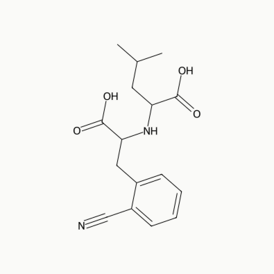 CC(C)CC(NC(Cc1ccccc1C#N)C(=O)O)C(=O)O